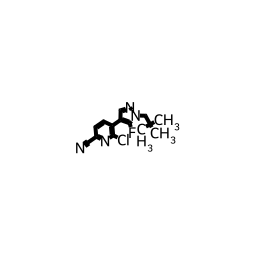 CC(C)(C)Cn1ncc(-c2ccc(C#N)nc2Cl)c1F